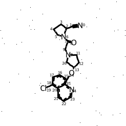 N#CC1CCCN1C(=O)CN1CC[C@H](Oc2ccc(Cl)c3cccnc23)C1